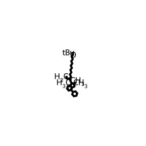 C=CC(CCCCCCCCCCOC(C)(C)C)C(C)(C)C1c2cccc(C3CCCCC3)c2CC1C